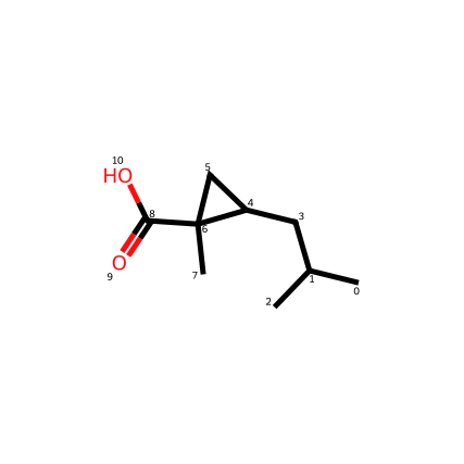 CC(C)CC1CC1(C)C(=O)O